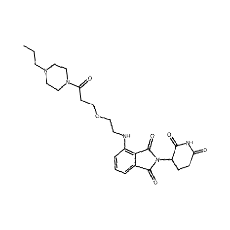 CCCN1CCN(C(=O)CCOCCNc2cccc3c2C(=O)N(C2CCC(=O)NC2=O)C3=O)CC1